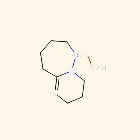 O=S(=O)([O-])O.[C+]1=C2CCCCNN2CCC1